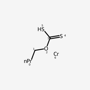 CCCCOC(=S)S.[Cr]